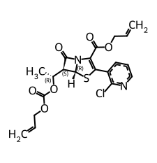 C=CCOC(=O)O[C@H](C)[C@H]1C(=O)N2C(C(=O)OCC=C)=C(c3cccnc3Cl)S[C@H]12